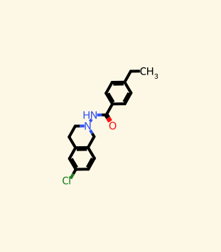 CCc1ccc(C(=O)NN2CCc3cc(Cl)ccc3C2)cc1